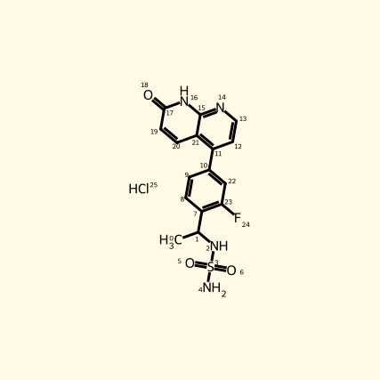 CC(NS(N)(=O)=O)c1ccc(-c2ccnc3[nH]c(=O)ccc23)cc1F.Cl